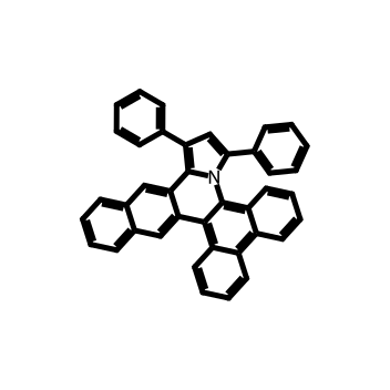 c1ccc(-c2cc(-c3ccccc3)n3c2c2cc4ccccc4cc2c2c4ccccc4c4ccccc4c23)cc1